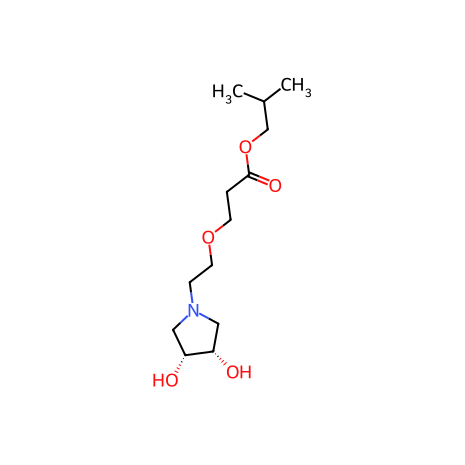 CC(C)COC(=O)CCOCCN1C[C@@H](O)[C@@H](O)C1